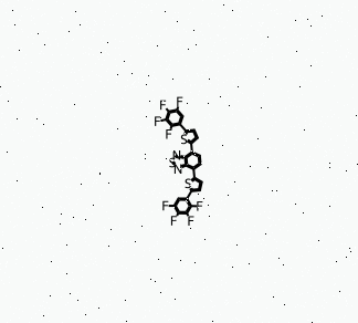 Fc1cc(-c2ccc(-c3ccc(-c4ccc(-c5cc(F)c(F)c(F)c5F)s4)c4nsnc34)s2)c(F)c(F)c1F